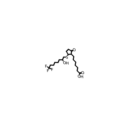 O=C(O)CCCCCCC1C(=O)CCC1SCC(O)CCCCCC(F)(F)F